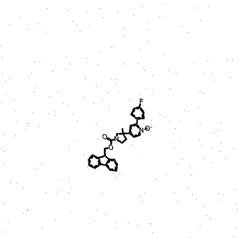 CC1(c2cc[n+]([O-])c(-c3ccc(F)cc3)c2)CCN(C(=O)OCC2c3ccccc3-c3ccccc32)C1